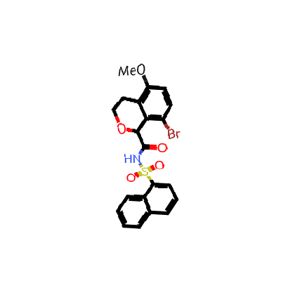 COc1ccc(Br)c2c1CCOC2C(=O)NS(=O)(=O)c1cccc2ccccc12